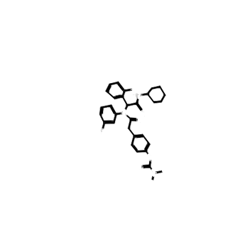 CN(C)C(=O)Oc1ccc(CC(=O)N(c2cccc(F)c2)C(C(=O)NC2CCCCC2)c2ccccc2F)cc1